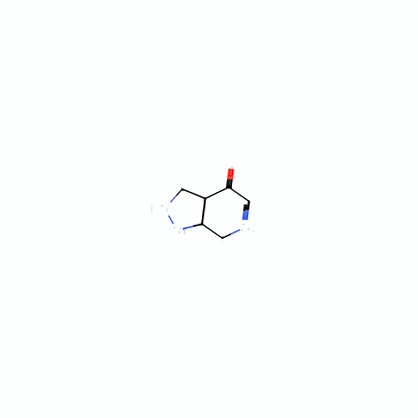 O=C1C=NCC2NNCC12